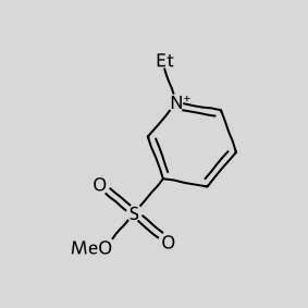 CC[n+]1cccc(S(=O)(=O)OC)c1